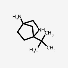 CC(C)(C)C12CCC(N)(CN1)C2